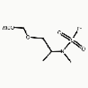 CCS(=O)(=O)N(C)C(C)COCOC